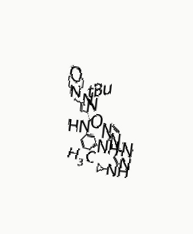 Cc1ccc(NC(=O)c2cc(CN3CCOCC3)n(C(C)(C)C)n2)cc1Nc1nccn1-c1cc(NC2CC2)ncn1